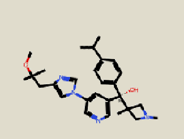 COC(C)(C)Cc1cn(-c2cncc([C@@](O)(c3ccc(C(C)C)cc3)C3(C)CN(C)C3)c2)cn1